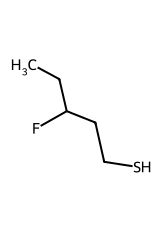 CCC(F)CCS